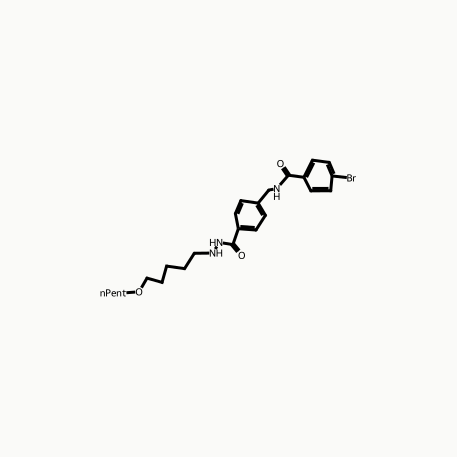 CCCCCOCCCCCNNC(=O)c1ccc(CNC(=O)c2ccc(Br)cc2)cc1